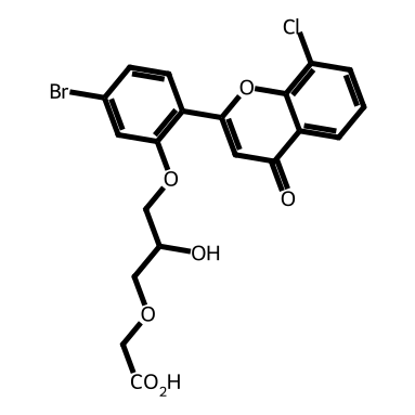 O=C(O)COCC(O)COc1cc(Br)ccc1-c1cc(=O)c2cccc(Cl)c2o1